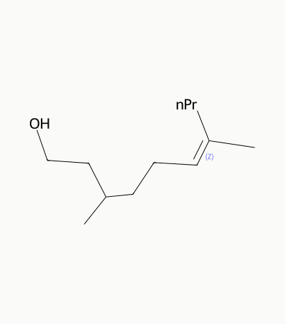 CCC/C(C)=C\CCC(C)CCO